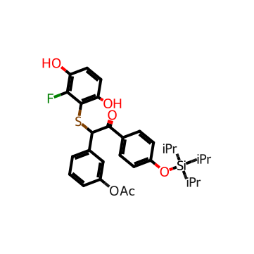 CC(=O)Oc1cccc(C(Sc2c(O)ccc(O)c2F)C(=O)c2ccc(O[Si](C(C)C)(C(C)C)C(C)C)cc2)c1